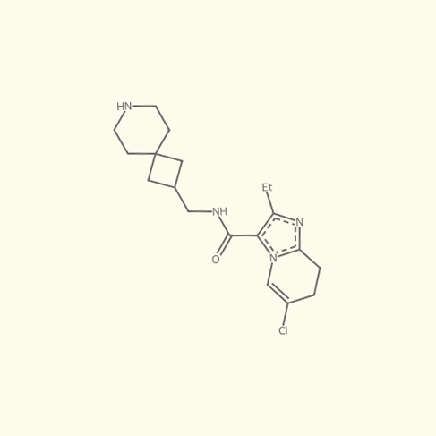 CCc1nc2n(c1C(=O)NCC1CC3(CCNCC3)C1)C=C(Cl)CC2